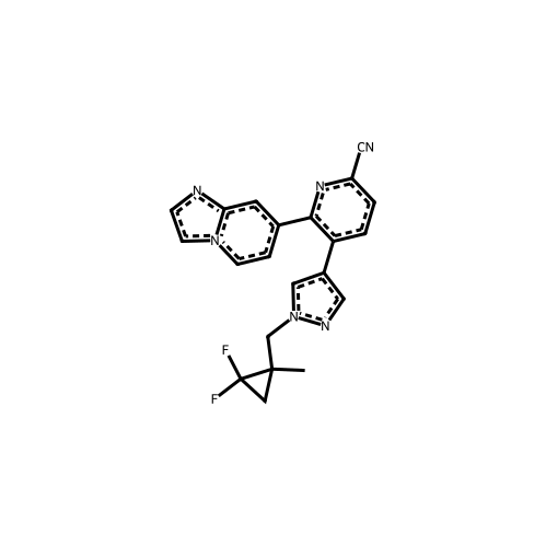 CC1(Cn2cc(-c3ccc(C#N)nc3-c3ccn4ccnc4c3)cn2)CC1(F)F